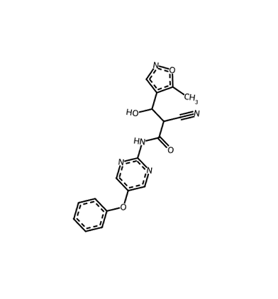 Cc1oncc1C(O)C(C#N)C(=O)Nc1ncc(Oc2ccccc2)cn1